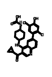 O=C(O)NC1CCC(Nc2c(C(=O)C3CC3)cnc3ccc(-c4cc(Cl)c(O)cc4Cl)cc23)CC1